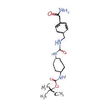 CC(C)(C)OC(=O)NC1CCC(NC(=O)NCc2ccc(C(N)=O)cc2)CC1